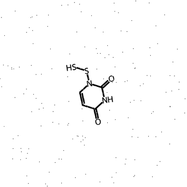 O=c1ccn(SS)c(=O)[nH]1